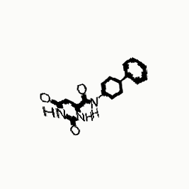 O=C(N[C@H]1CC[C@H](c2ccccc2)CC1)c1cc(=O)[nH]c(=O)[nH]1